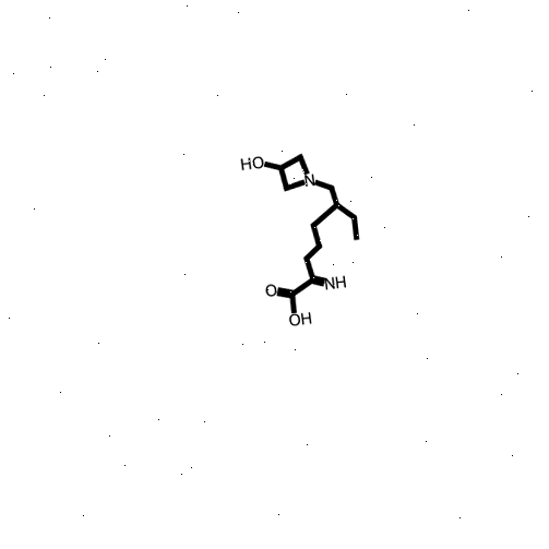 CCC(CCCC(=N)C(=O)O)CN1CC(O)C1